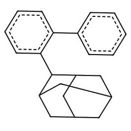 c1ccc(-c2ccccc2C2C3CC4CC(C3)CC2C4)cc1